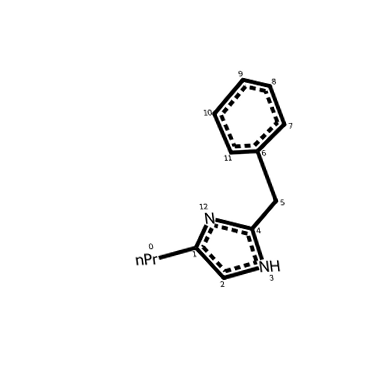 CCCc1c[nH]c(Cc2ccccc2)n1